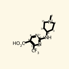 CN1CCC(Nc2ncc(C(=O)O)c(C(F)(F)F)n2)CC1